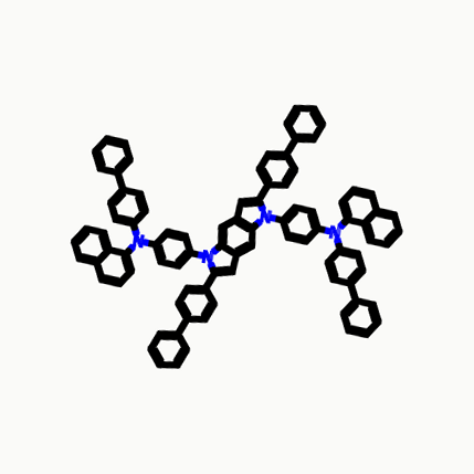 c1ccc(-c2ccc(-c3cc4cc5c(cc(-c6ccc(-c7ccccc7)cc6)n5-c5ccc(N(c6ccc(-c7ccccc7)cc6)c6cccc7ccccc67)cc5)cc4n3-c3ccc(N(c4ccc(-c5ccccc5)cc4)c4cccc5ccccc45)cc3)cc2)cc1